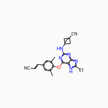 CCc1nc2nc(NC34CC(C#N)(C3)C4)nc(Oc3c(C)cc(/C=C/C#N)cc3C)c2[nH]1